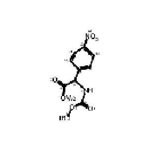 COC(=O)C(NC(=O)OC(C)(C)C)c1ccc([N+](=O)[O-])cc1